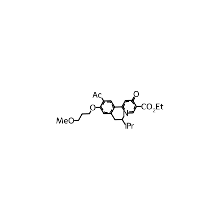 CCOC(=O)c1cn2c(cc1=O)-c1cc(C(C)=O)c(OCCCOC)cc1CC2C(C)C